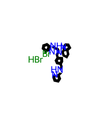 Br.Brc1cccc2[nH]c(CN(Cc3ccc(CNCc4ccccn4)cc3)C3CCCc4cccnc43)nc12